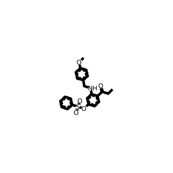 CCC(=O)c1ccc(OS(=O)(=O)c2ccccc2)cc1NCc1ccc(OC)cc1